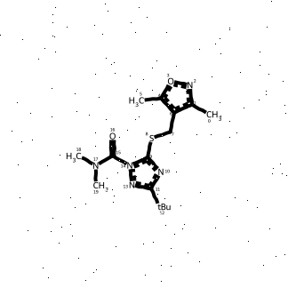 Cc1noc(C)c1CSc1nc(C(C)(C)C)nn1C(=O)N(C)C